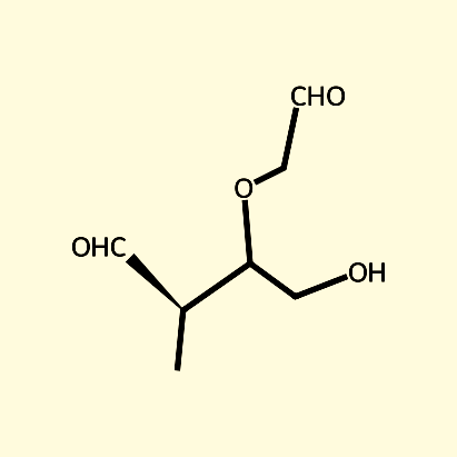 C[C@@H](C=O)C(CO)OCC=O